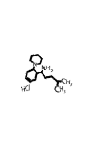 CC(C)CCC(N)c1ccccc1N1CCCCC1.Cl